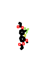 C=CC(=O)Oc1ccc2c(sc3c(C(F)(F)F)c(OC(=O)C=C)ccc32)c1OC